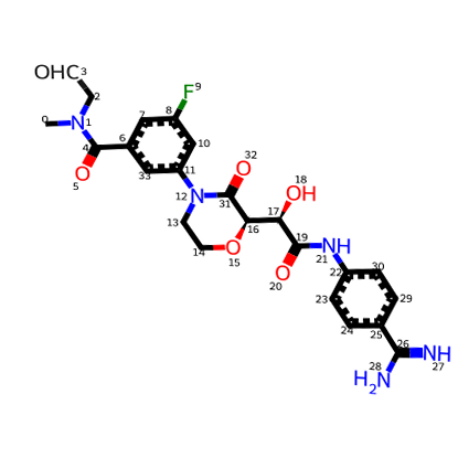 CN(CC=O)C(=O)c1cc(F)cc(N2CCO[C@H]([C@@H](O)C(=O)Nc3ccc(C(=N)N)cc3)C2=O)c1